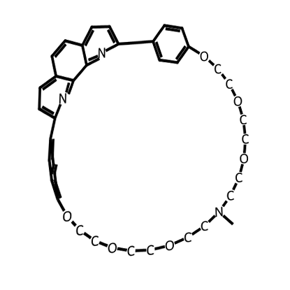 CN1CCOCCOCCOc2ccc(cc2)-c2ccc3ccc4ccc(nc4c3n2)-c2ccc(cc2)OCCOCCOCC1